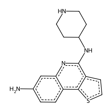 Nc1ccc2c(c1)nc(NC1CCNCC1)c1ccsc12